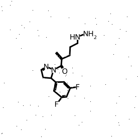 C=C(CCCNN)C(=O)N1N=CCC1c1cc(F)cc(F)c1